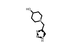 OC1CCN(Cc2c[nH]nn2)CC1